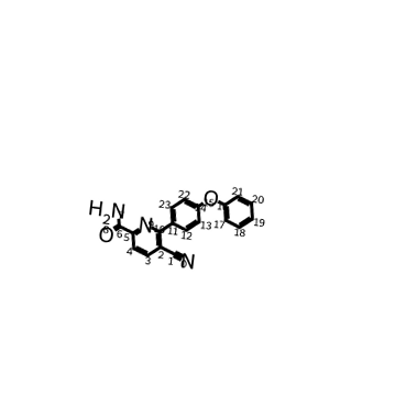 N#Cc1ccc(C(N)=O)nc1-c1ccc(Oc2ccccc2)cc1